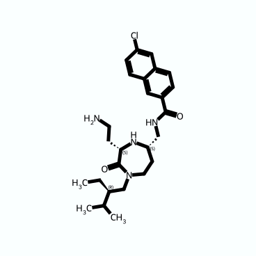 CC[C@@H](CN1CC[C@@H](CNC(=O)c2ccc3cc(Cl)ccc3c2)N[C@@H](CCN)C1=O)C(C)C